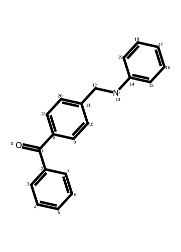 O=C(c1ccccc1)c1ccc(C[N]c2ccccc2)cc1